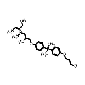 CC(C)(c1ccc(OCCCCl)cc1)c1ccc(OCC(O)CN(N)/C(=C\N)CO)cc1